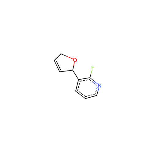 Fc1ncccc1C1C=CCO1